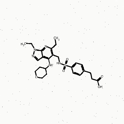 CCc1nc2c(cnn2CC)c(NC2CCOCC2)c1CNS(=O)(=O)c1ccc(CCC(=O)O)cc1